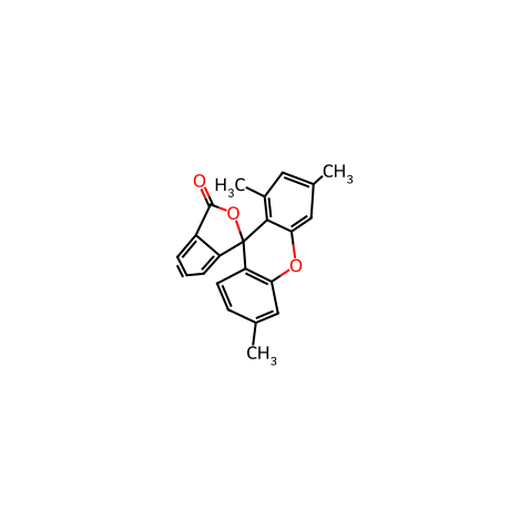 Cc1ccc2c(c1)Oc1cc(C)cc(C)c1C21OC(=O)c2ccccc21